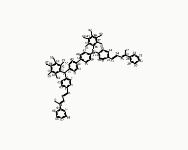 C/C(=C\C=C\c1ccc(C(c2ccc(-c3ccc(N(c4ccc(/C=C/C=C(\C)c5ccccc5)cc4)c4c(C)c(C)c(C)c(C)c4C)cc3)cc2)c2c(C)c(C)c(C)c(C)c2C)cc1)c1ccccc1